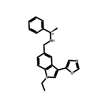 CCn1cc(-c2cnco2)c2cc(CN[C@H](C)c3ccccc3)ccc21